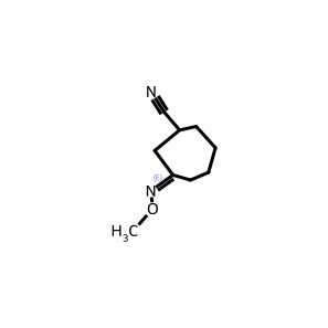 CO/N=C1\CCCCC(C#N)C1